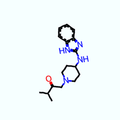 CC(C)C(=O)CN1CCC(Nc2nc3ccccc3[nH]2)CC1